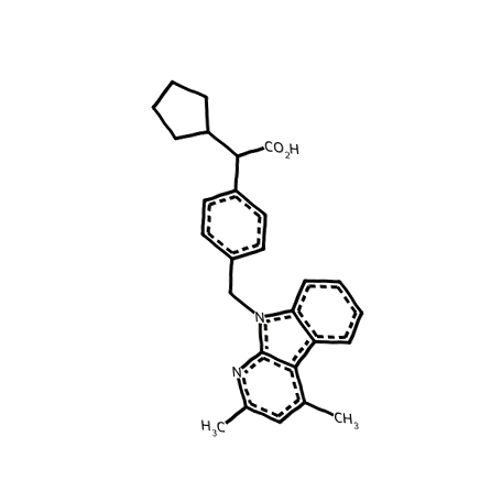 Cc1cc(C)c2c3ccccc3n(Cc3ccc(C(C(=O)O)C4CCCC4)cc3)c2n1